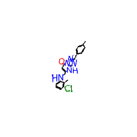 Cc1ccc(-c2nc3[nH]c(CNc4cccc(Cl)c4C)cc(=O)n3n2)cc1